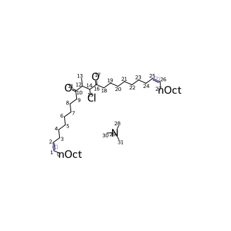 CCCCCCCC/C=C\CCCCCCCC(=O)C(C)C(Cl)C(=O)CCCCCCC/C=C\CCCCCCCC.CN(C)C